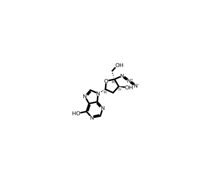 [N-]=[N+]=N[C@]1(CO)O[C@@H](n2cnc3c(O)ncnc32)C[C@@H]1O